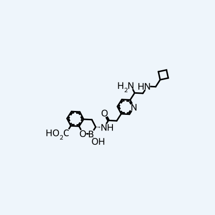 NC(CNCC1CCC1)c1ccc(CC(=O)N[C@H]2Cc3cccc(C(=O)O)c3OB2O)cn1